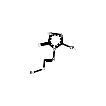 CCOC=Nn1c(C(F)(F)F)n[nH]c1=O